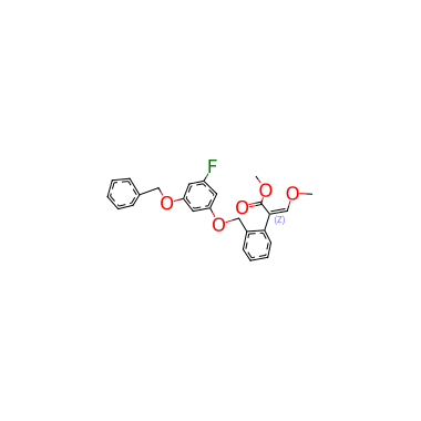 CO/C=C(\C(=O)OC)c1ccccc1COc1cc(F)cc(OCc2ccccc2)c1